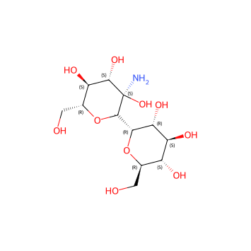 N[C@]1(O)[C]([C@H]2O[C@H](CO)[C@@H](O)[C@H](O)[C@H]2O)O[C@H](CO)[C@@H](O)[C@@H]1O